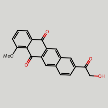 COc1cccc2c1C(=O)c1cc3ccc(C(=O)CO)cc3cc1C2=O